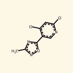 Cc1noc(-c2cnc(Cl)cc2Cl)n1